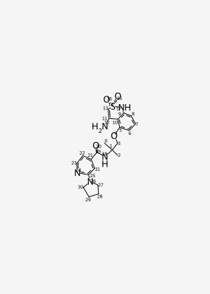 CC(C)(COc1cccc2c1C(N)=CS(=O)(=O)N2)NC(=O)c1ccnc(N2CCCC2)c1